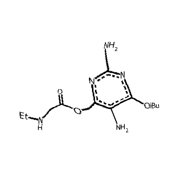 CCNC(=O)Oc1nc(N)nc(OCC(C)C)c1N